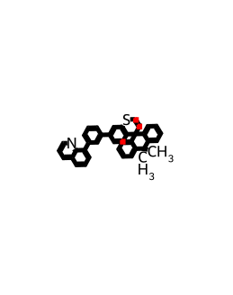 CC1(C)c2ccccc2C2(c3ccccc3Sc3cc(-c4cccc(-c5cccc6cccnc56)c4)ccc32)c2ccccc21